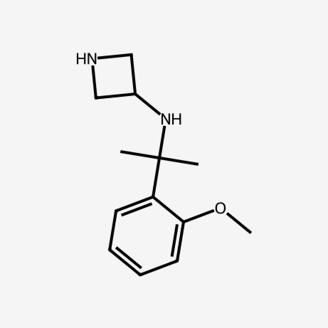 COc1ccccc1C(C)(C)NC1CNC1